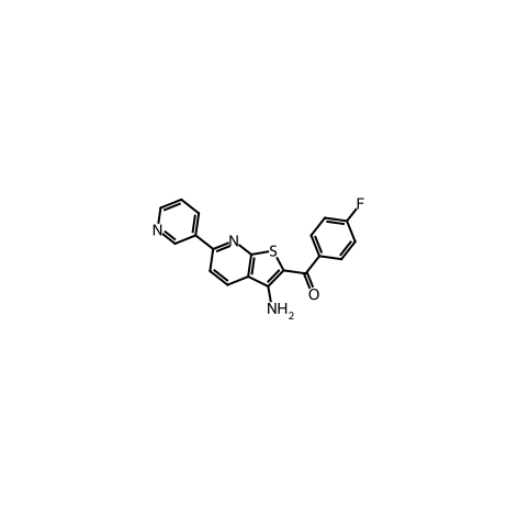 Nc1c(C(=O)c2ccc(F)cc2)sc2nc(-c3cccnc3)ccc12